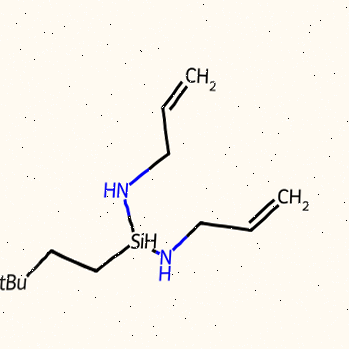 C=CCN[SiH](CCC(C)(C)C)NCC=C